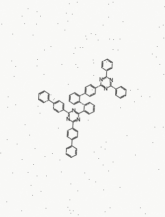 c1ccc(-c2ccc(-c3nc(-c4ccc(-c5ccccc5)cc4)nc(-c4ccccc4-c4ccccc4-c4ccc(-c5nc(-c6ccccc6)nc(-c6ccccc6)n5)cc4)n3)cc2)cc1